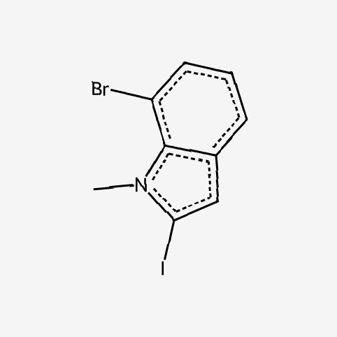 Cn1c(I)cc2cccc(Br)c21